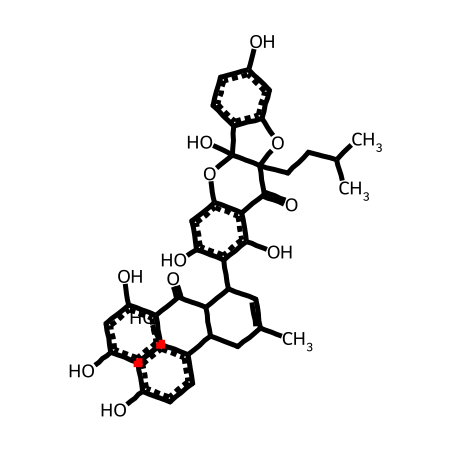 CC1=CC(c2c(O)cc3c(c2O)C(=O)C2(CCC(C)C)Oc4cc(O)ccc4C2(O)O3)C(C(=O)c2ccc(O)cc2O)C(c2ccc(O)cc2O)C1